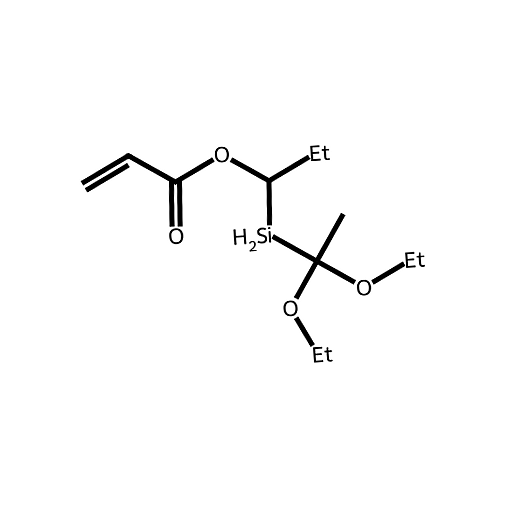 C=CC(=O)OC(CC)[SiH2]C(C)(OCC)OCC